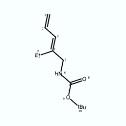 C=C/C=C(\CC)CNC(=O)OC(C)(C)C